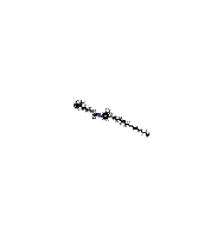 CCCCCCCCCCCCCCCCCCOc1ccc(/C=C/C(=O)OCCCCCCP(=O)(O)O)cc1OC